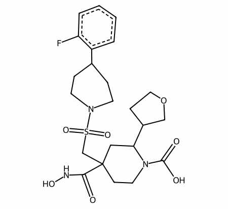 O=C(O)N1CCC(CS(=O)(=O)N2CCC(c3ccccc3F)CC2)(C(=O)NO)CC1C1CCOC1